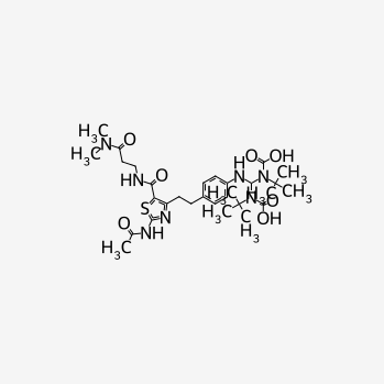 CC(=O)Nc1nc(CCc2ccc(NC(N(C(=O)O)C(C)(C)C)N(C(=O)O)C(C)(C)C)cc2)c(C(=O)NCCC(=O)N(C)C)s1